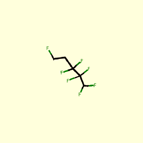 F[CH]CC(F)(F)C(F)(F)C(F)F